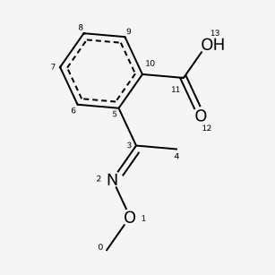 CO/N=C(\C)c1ccccc1C(=O)O